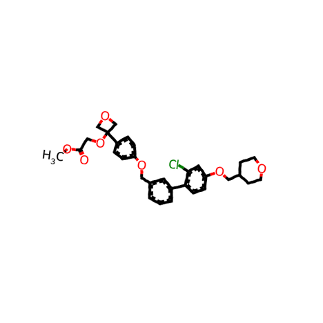 COC(=O)COC1(c2ccc(OCc3cccc(-c4ccc(OCC5CCOCC5)cc4Cl)c3)cc2)COC1